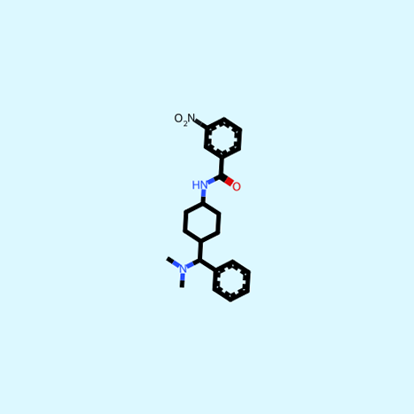 CN(C)C(c1ccccc1)C1CCC(NC(=O)c2cccc([N+](=O)[O-])c2)CC1